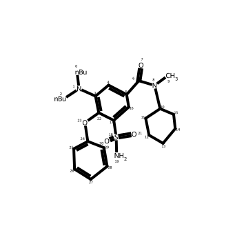 CCCCN(CCCC)c1cc(C(=O)N(C)C2CCCCC2)cc(S(N)(=O)=O)c1Oc1ccccc1